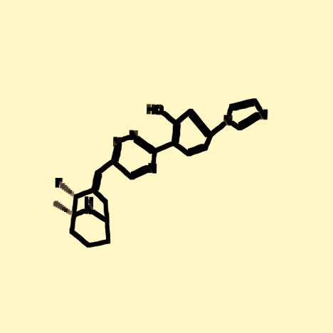 C[C@]12CCCC(C/C(=C\c3cnc(-c4ccc(-n5ccnc5)cc4O)nn3)[C@H]1F)N2